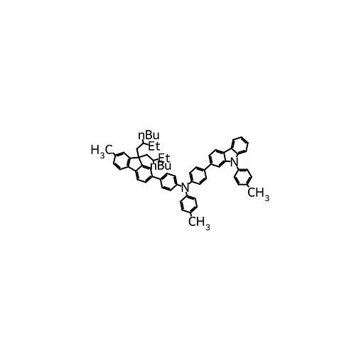 CCCCC(CC)CC1(CC(CC)CCCC)c2cc(C)ccc2-c2ccc(-c3ccc(N(c4ccc(C)cc4)c4ccc(-c5ccc6c7ccccc7n(-c7ccc(C)cc7)c6c5)cc4)cc3)cc21